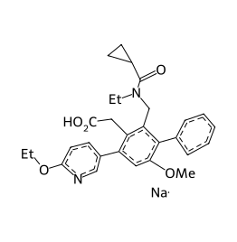 CCOc1ccc(-c2cc(OC)c(-c3ccccc3)c(CN(CC)C(=O)C3CC3)c2CC(=O)O)cn1.[Na]